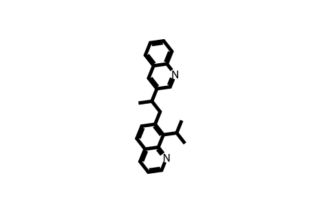 CC(C)c1c(CC(C)c2cnc3ccccc3c2)ccc2cccnc12